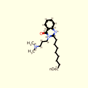 CCCCCCCCCCCCCCCCCc1nc2ccccc2c(=O)n1CCCN(C)C